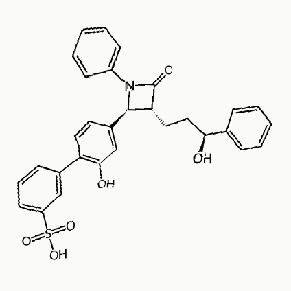 O=C1[C@H](CC[C@H](O)c2ccccc2)[C@@H](c2ccc(-c3cccc(S(=O)(=O)O)c3)c(O)c2)N1c1ccccc1